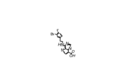 O=C(O)c1ccnc2c(NCCc3ccc(F)c(Br)c3)ncnc12